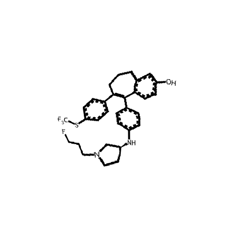 Oc1ccc2c(c1)CCCC(c1ccc(SC(F)(F)F)cc1)=C2c1ccc(N[C@H]2CCN(CCCF)C2)cc1